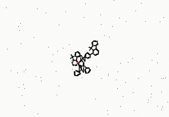 CC1(C)c2ccccc2-c2c(N(c3ccc(-c4cccc5c4C(C)(C)c4ccccc4-5)cc3)c3ccc4c(c3)c3ccccc3n4-c3ccccc3)cccc21